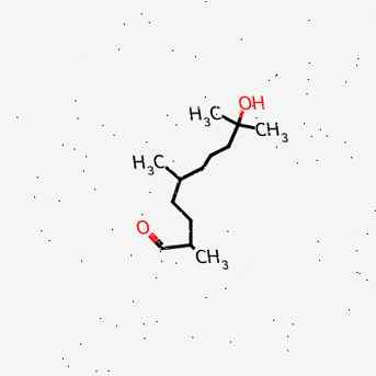 CC(C=O)CCC(C)CCCC(C)(C)O